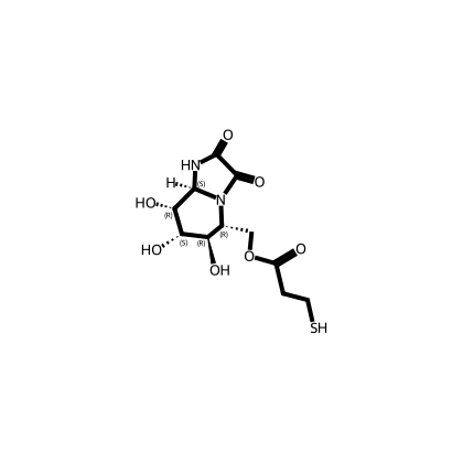 O=C(CCS)OC[C@@H]1[C@@H](O)[C@H](O)[C@H](O)[C@H]2NC(=O)C(=O)N12